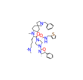 C[C@@H]1N=C(N2CCN(C(=O)[C@@H](CCCCN(C)C)N(C)C3CCC4(CC3)CCN(Cc3ccccc3)C4)[C@H](C(=O)NCc3cccs3)C2)O[C@H]1c1ccccc1